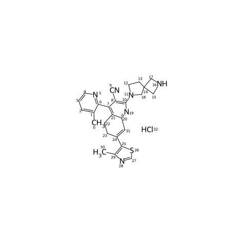 Cc1cccnc1-c1c(C#N)c(N2CCC3(CNC3)C2)nc2c1CCC(c1scnc1C)=C2.Cl